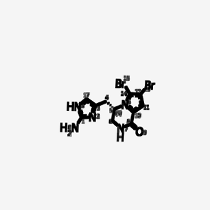 Nc1nc(C[C@H]2CNC(=O)c3cc(Br)c(Br)n32)c[nH]1